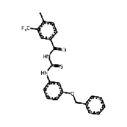 Cc1ccc(C(=O)NC(=S)Nc2cccc(OCc3ccccc3)c2)cc1C(F)(F)F